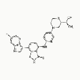 C[C@H](O)C1CN(c2ccc(Nc3ccc(-c4cnc5cc(F)ccn45)c4c3C(=O)NC4)nc2)CCO1